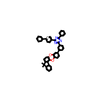 CC1(C)c2ccccc2-c2c1ccc1c2Oc2ccc(-c3cccc(-c4nc(-c5ccccc5)nc(-c5ccc(-c6ccccc6)cc5)n4)c3)cc2O1